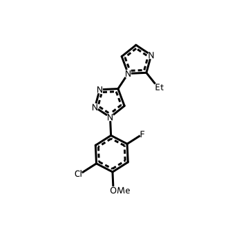 CCc1nccn1-c1cn(-c2cc(Cl)c(OC)cc2F)nn1